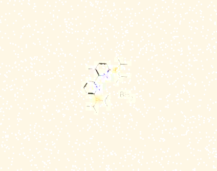 B.Cc1ccc(P(C(C)C)C(C)C)nc1-c1cccc(P(C(C)C)C(C)C)n1